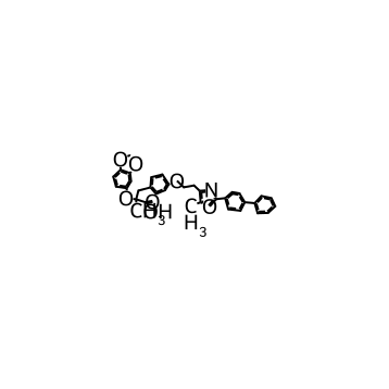 Cc1oc(-c2ccc(-c3ccccc3)cc2)nc1CCOc1ccc(CC(C)(Oc2ccc3c(c2)OCO3)C(=O)O)cc1